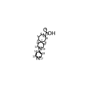 O=C(O)N1CCCC2(CC1)CCN(c1ccncc1)CC2